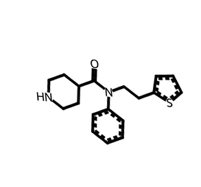 O=C(C1CCNCC1)N(CCc1cccs1)c1ccccc1